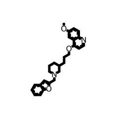 COc1ccc2nccc(OCCCC3CCCN(Cc4cc5ccccc5o4)C3)c2c1